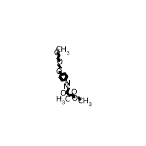 CCOC(=O)C(C)C(=O)CN=Nc1ccc(OCCOCCOC)cc1